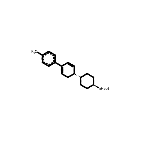 CCCCCCC[C@H]1CC[C@H](C2C=CC(c3ccc(C(F)(F)F)cc3)=CC2)CC1